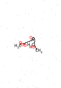 CCCCC(C)(O)CC=C[C@H]1C=CC(=O)[C@@H]1CCCCCCC(=O)COC(C)=O